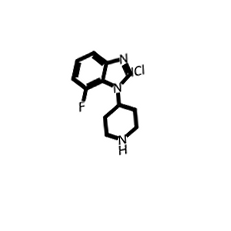 Cl.Fc1cccc2ncn(C3CCNCC3)c12